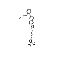 C=C(C)C(=O)OCCCCCCOc1ccc2c(c1)CCC(c1ccccc1CCCCC)=C2